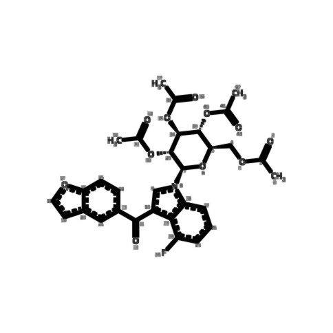 CC(=O)OC[C@H]1O[C@@H](n2cc(C(=O)c3ccc4occc4c3)c3c(F)cccc32)[C@H](OC(C)=O)[C@@H](OC(C)=O)[C@@H]1OC(C)=O